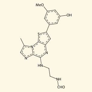 COc1cc(O)cc(-c2cc3nc(NCCNC=O)c4ncc(C)n4c3s2)c1